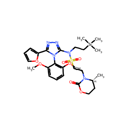 COc1cccc(OC)c1-n1c(-c2ccco2)nnc1N(CC[Si](C)(C)C)S(=O)(=O)CCN1C(=O)OCC[C@H]1C